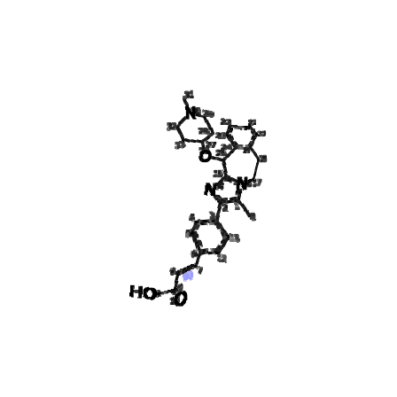 Cc1c(-c2ccc(/C=C/C(=O)O)cc2)nc2n1CCc1ccccc1C2OC1CCN(C)CC1